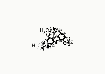 CC1(C)Oc2cc(NS(C)(=O)=O)cc(F)c2N(c2cc3c(cc2Cl)OC(F)(F)O3)C1=O